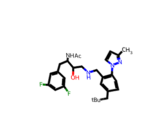 CC(=O)NC(Cc1cc(F)cc(F)c1)C(O)CNCc1cc(CC(C)(C)C)ccc1-n1ccc(C)n1